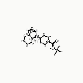 CC(C)(C)OC(=O)N1CCC(N2C3OC[C@@]4(CCCC[C@H]24)O3)CC1